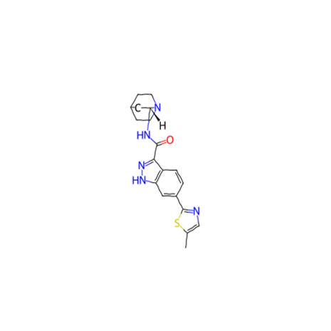 Cc1cnc(-c2ccc3c(C(=O)N[C@@H]4CC5CCN4CC5)n[nH]c3c2)s1